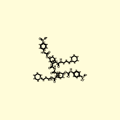 O=C(Nc1ccc([N+](=O)[O-])cc1)OC1CC2CC1C(C(=O)NC(=O)C1C3CC(CC3OC(=O)Nc3ccc([N+](=O)[O-])cc3)C1C(=O)NCCCN1CCCCC1)C2C(=O)NCCCN1CCCCC1